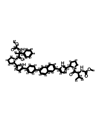 COC(=O)NC(C(=O)N1CCCC1c1ncc(-c2ccc3cc(-c4ccc(-c5cnc(C6CCCN6C(=O)C(C)(NC(=O)OC)c6ccccc6)[nH]5)cc4)ccc3c2)[nH]1)C(C)C